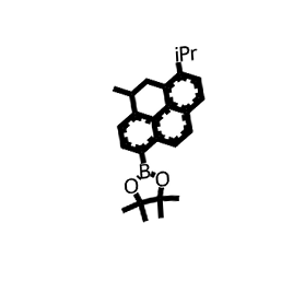 CC(C)c1ccc2ccc3c(B4OC(C)(C)C(C)(C)O4)ccc4c3c2c1CC4C